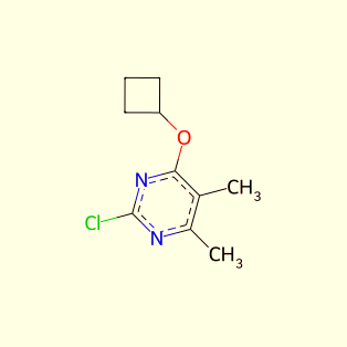 Cc1nc(Cl)nc(OC2CCC2)c1C